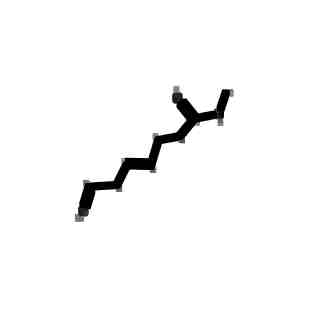 COC(=O)CCC=CCC=O